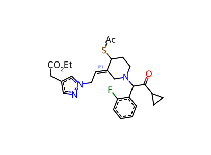 CCOC(=O)Cc1cnn(C/C=C2\CN(C(C(=O)C3CC3)c3ccccc3F)CCC2SC(C)=O)c1